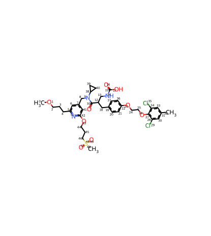 COCCCc1cc(CN(C(=O)C(CNC(=O)O)Cc2ccc(OCCOc3c(Cl)cc(C)cc3Cl)cc2)C2CC2)cc(OCCCS(C)(=O)=O)n1